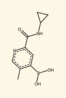 Cc1cnc(C(=O)NC2CC2)cc1B(O)O